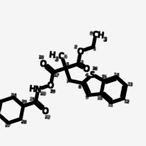 CCOC(=O)C(C)(Cc1cc2ccccc2s1)C(=O)ONC(=O)C1CCCCC1